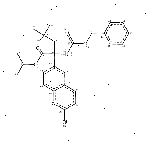 CC(C)OC(=O)C(CC(C)(C)C)(NC(=O)OCc1ccccc1)c1ccc2nc(O)ccc2c1